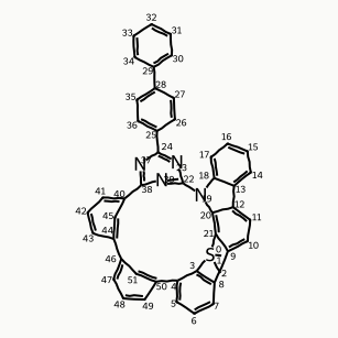 CS1(C)c2c3cccc2-c2ccc4c5ccccc5n(c4c21)-c1nc(-c2ccc(-c4ccccc4)cc2)nc(n1)-c1cccc(c1)-c1cccc-3c1